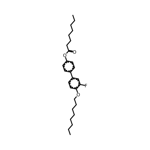 CCCCCCCCOc1ccc(-c2ccc(OC(=O)CCCCCCC)cc2)cc1F